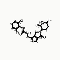 O=C1CCC(N2Cc3c(csc3CNC(=O)Nc3c(Cl)cccc3Cl)C2=O)C(=O)N1